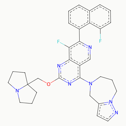 Fc1c(-c2cccc3cccc(F)c23)ncc2c(N3CCCn4nccc4C3)nc(OCC34CCCN3CCC4)nc12